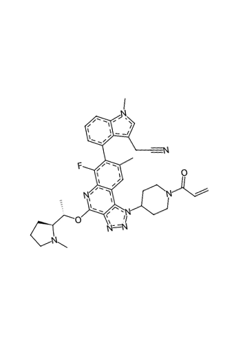 C=CC(=O)N1CCC(n2nnc3c(O[C@@H](C)[C@@H]4CCCN4C)nc4c(F)c(-c5cccc6c5c(CC#N)cn6C)c(C)cc4c32)CC1